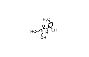 Cc1ccc(C)c(NC(=O)N(CCO)CCO)c1